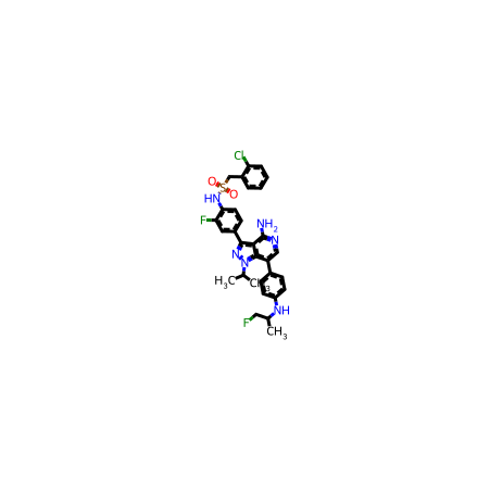 CC(CF)Nc1ccc(-c2cnc(N)c3c(-c4ccc(NS(=O)(=O)Cc5ccccc5Cl)c(F)c4)nn(C(C)C)c23)cc1